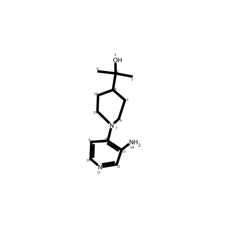 CC(C)(O)C1CCN(c2ccncc2N)CC1